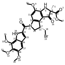 COC(=O)[C@]1(C)Nc2c(OC)cc3c(c2C1=O)[C@H](CBr)CN3C(=O)c1cc2cc(OC)c(OC)c(OC)c2[nH]1